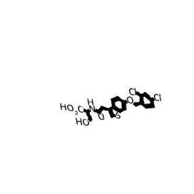 O=C(Cc1csc2cc(OCc3ccc(Cl)cc3Cl)ccc12)NC(CO)C(=O)O